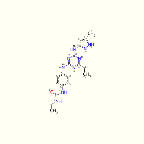 CCNC(=O)Nc1ccc(Nc2nc(CC)nc(Nc3cc(C)[nH]n3)n2)cc1